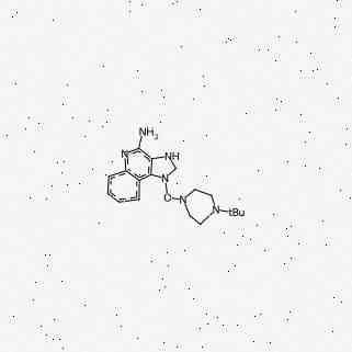 CC(C)(C)N1CCN(ON2CNc3c(N)nc4ccccc4c32)CC1